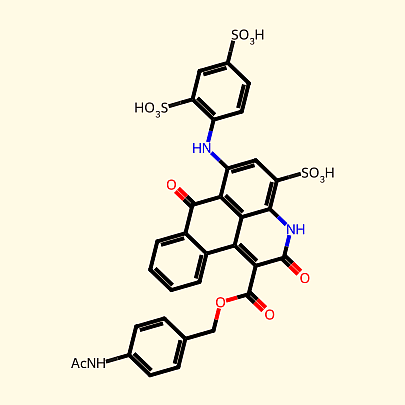 CC(=O)Nc1ccc(COC(=O)c2c3c4c(c(Nc5ccc(S(=O)(=O)O)cc5S(=O)(=O)O)cc(S(=O)(=O)O)c4[nH]c2=O)C(=O)c2ccccc2-3)cc1